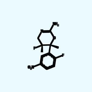 C[C@@]1(F)CN=C(N)O[C@]1(C)c1cc([N+](=O)[O-])ccc1F